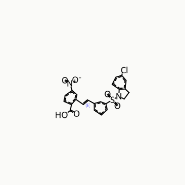 O=C(O)c1ccc([N+](=O)[O-])cc1/C=C/c1cccc(S(=O)(=O)N2CCc3cc(Cl)ccc32)c1